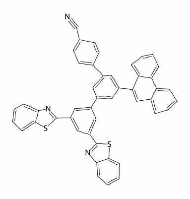 N#Cc1ccc(-c2cc(-c3cc(-c4nc5ccccc5s4)cc(-c4nc5ccccc5s4)c3)cc(-c3cc4ccccc4c4ccccc34)c2)cc1